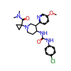 COc1ccc(C2CN(C3(C(=O)N(C)C)CC3)CCC2NC(=O)Nc2ccc(Cl)cc2)nc1